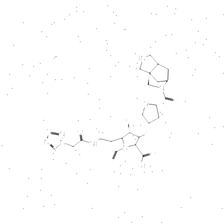 C[C@@H](NC(=O)Cn1cnnn1)[C@H]1C(=O)N2C(C(=O)O)C(S[C@@H]3CN[C@H](C(=O)N4C[C@@]56CNCC5CC4C6)C3)[C@H](C)[C@H]12